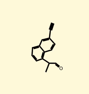 C#Cc1ccc2c(C(C)C=O)cccc2c1